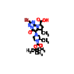 CC1CC(C(=O)O)n2c1c(N1CCN(C(=O)OC(C)(C)C)[C@H](C)C1)c(=O)n1nc(Br)nc21